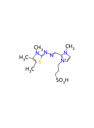 Cc1sc(=NN=Cc2n(C)cc[n+]2CCCS(=O)(=O)O)n(C)c1C